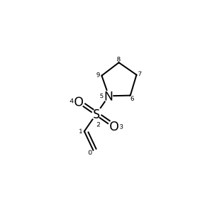 C=CS(=O)(=O)N1CCCC1